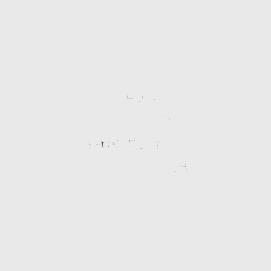 O=C(O)OB(O)O.[KH].[NaH]